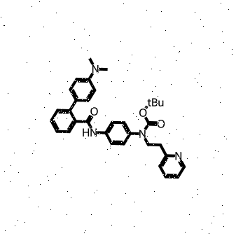 CN(C)c1ccc(-c2ccccc2C(=O)Nc2ccc(N(CCc3ccccn3)C(=O)OC(C)(C)C)cc2)cc1